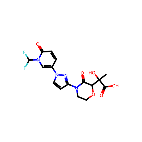 CC(O)(C(=O)O)C1OCCN(c2ccn(-c3ccc(=O)n(C(F)F)c3)n2)C1=O